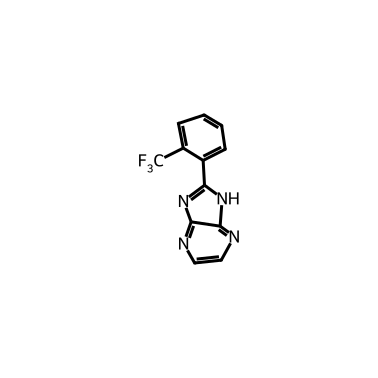 FC(F)(F)c1ccccc1-c1nc2nccnc2[nH]1